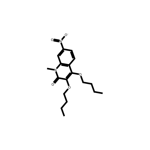 CCCCOc1c(OCCCC)c2ccc([N+](=O)[O-])cc2n(C)c1=O